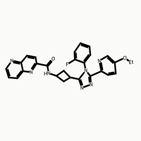 CCOc1ccc(-c2nnc(C3CC(NC(=O)c4ccc5ncccc5n4)C3)n2-c2ccccc2F)nc1